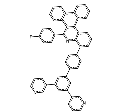 Fc1ccc(-c2nc3c(-c4ccc(-c5cc(-c6cccnc6)cc(-c6cccnc6)c5)cc4)cccc3c3c4ccccc4c4ccccc4c23)cc1